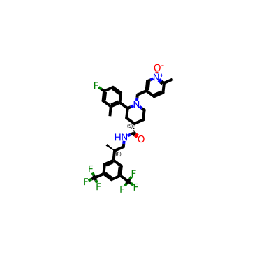 Cc1cc(F)ccc1C1C[C@@H](C(=O)NC[C@H](C)c2cc(C(F)(F)F)cc(C(F)(F)F)c2)CCN1Cc1ccc(C)[n+]([O-])c1